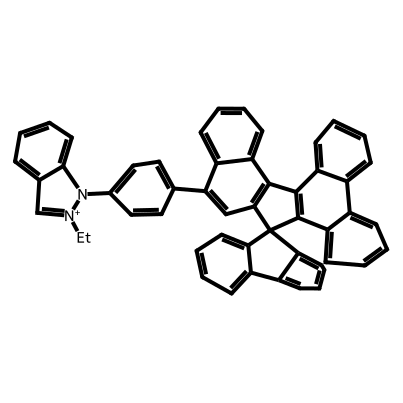 CC[n+]1cc2ccccc2n1-c1ccc(-c2cc3c(c4ccccc24)-c2c(c4ccccc4c4ccccc24)C32c3ccccc3-c3ccccc32)cc1